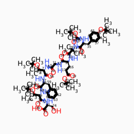 C[C@@H](OC(C)(C)C)[C@H](NC(=O)CNC(=O)[C@H](CCC(=O)OC(C)(C)C)NC(=O)C(C)(C)NC(=O)[C@H](Cc1ccc(OC(C)(C)C)cc1)NC(=O)OC(C)(C)C)C(=O)N[C@@H](Cc1ccccc1)C(=O)N[C@H](C(=O)N[C@@H](CO)C(=O)O)[C@@H](C)OC(C)(C)C